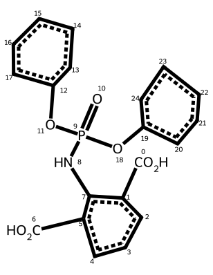 O=C(O)c1cccc(C(=O)O)c1NP(=O)(Oc1ccccc1)Oc1ccccc1